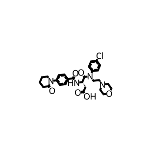 O=C(O)C[C@H](NC(=O)c1ccc(N2CCCCC2=O)cc1)C(=O)N(CCN1CCOCC1)c1ccc(Cl)cc1